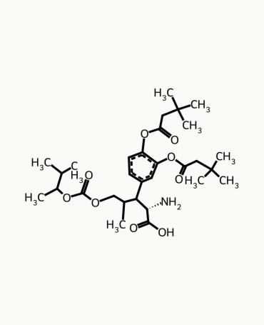 CC(C)C(C)OC(=O)OCC(C)C(c1ccc(OC(=O)CC(C)(C)C)c(OC(=O)CC(C)(C)C)c1)[C@H](N)C(=O)O